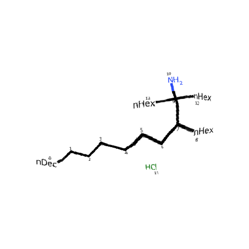 CCCCCCCCCCCCCCCCC(CCCCCC)C(N)(CCCCCC)CCCCCC.Cl